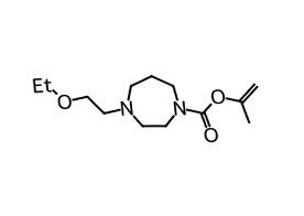 C=C(C)OC(=O)N1CCCN(CCOCC)CC1